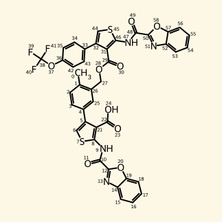 Cc1ccc(-c2csc(NC(=O)c3nc4ccccc4o3)c2C(=O)O)cc1COC(=O)c1c(-c2ccc(OC(F)(F)F)cc2)csc1NC(=O)c1nc2ccccc2o1